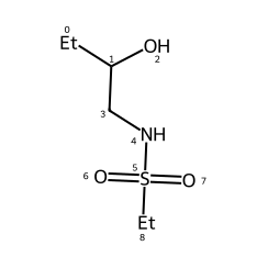 CCC(O)CNS(=O)(=O)CC